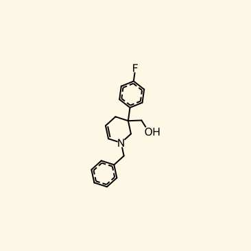 OCC1(c2ccc(F)cc2)CC=CN(Cc2ccccc2)C1